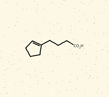 O=C(O)CCCC1=CCCC1